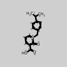 CC(C)c1ccc(Cn2cccc(C(=O)O)c2=O)cc1